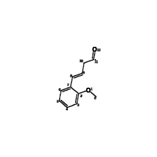 COc1ccccc1C=CC[C]=O